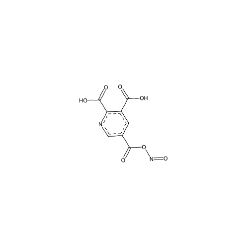 O=NOC(=O)c1cnc(C(=O)O)c(C(=O)O)c1